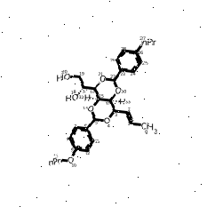 CC=CC1OC(c2ccc(OCCC)cc2)O[C@H]2[C@@H]([C@H](O)CO)OC(c3ccc(CCC)cc3)O[C@@H]12